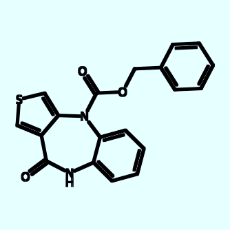 O=C1Nc2ccccc2N(C(=O)OCc2ccccc2)c2cscc21